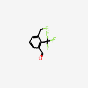 O=Cc1cccc(CF)c1C(F)(F)F